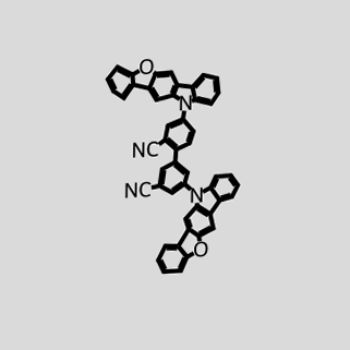 N#Cc1cc(-c2ccc(-n3c4ccccc4c4cc5oc6ccccc6c5cc43)cc2C#N)cc(-n2c3ccccc3c3cc4oc5ccccc5c4cc32)c1